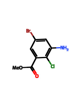 COC(=O)c1cc(Br)cc(N)c1Cl